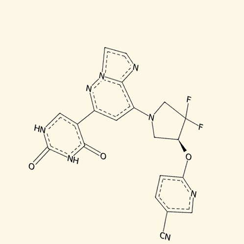 N#Cc1ccc(O[C@H]2CN(c3cc(-c4c[nH]c(=O)[nH]c4=O)nn4ccnc34)CC2(F)F)nc1